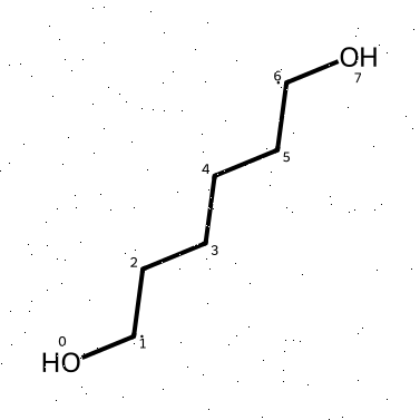 O[CH]CCCC[CH]O